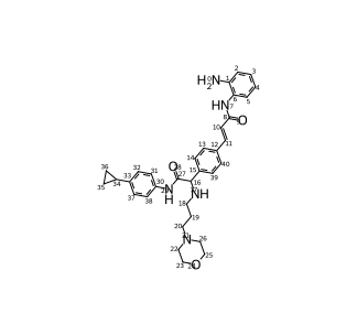 Nc1ccccc1NC(=O)/C=C/c1ccc(C(NCCCN2CCOCC2)C(=O)Nc2ccc(C3CC3)cc2)cc1